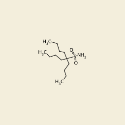 CCCCC(CCCC)(CCCC)S(N)(=O)=O